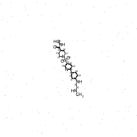 CNCCNc1ccc(-c2ccc(S(=O)(=O)N3CC=C(C(=O)NO)CC3)cn2)cc1